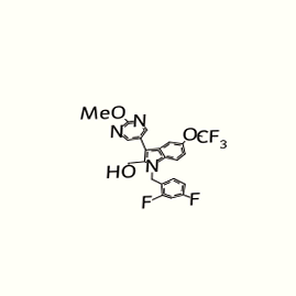 COc1ncc(-c2c(CO)n(Cc3ccc(F)cc3F)c3ccc(OC(F)(F)F)cc23)cn1